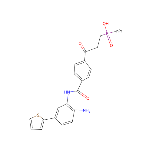 CCCP(=O)(O)CCC(=O)c1ccc(C(=O)Nc2cc(-c3cccs3)ccc2N)cc1